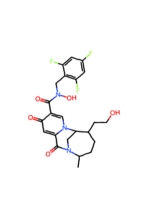 CC1CCC(CCO)C2CN1C(=O)c1cc(=O)c(C(=O)N(O)Cc3c(F)cc(F)cc3F)cn12